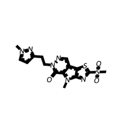 Cn1ccc(CCn2ncc3c4sc(S(C)(=O)=O)nc4n(C)c3c2=O)n1